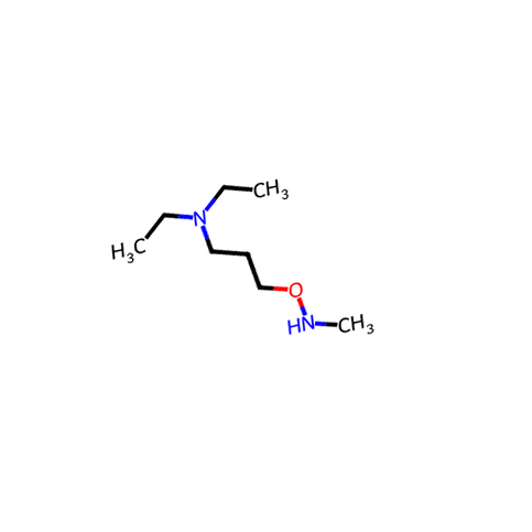 CCN(CC)CCCONC